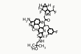 Cn1nc(N)c2cccc(-c3cc4sc(NCC(C)(C)O)nc4nc3[C@H](Cc3cc(F)cc(F)c3)NC(=O)Cn3nc(C(F)F)c4c3C(F)(F)[C@@H]3C[C@H]43)c21